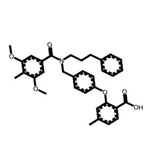 COc1cc(C(=O)N(CCCc2ccccc2)Cc2ccc(Oc3cc(C)ccc3C(=O)O)cc2)cc(OC)c1C